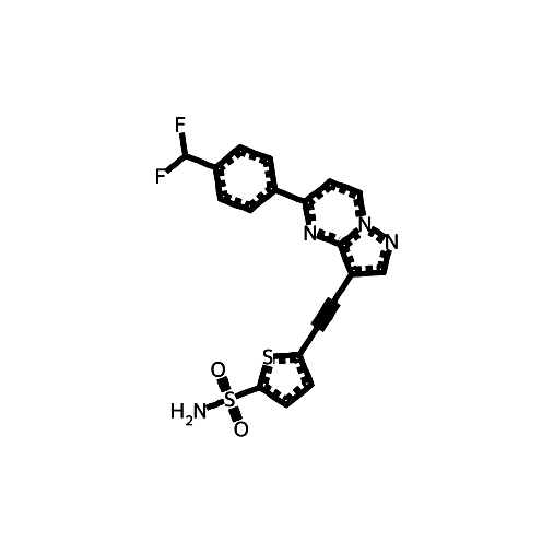 NS(=O)(=O)c1ccc(C#Cc2cnn3ccc(-c4ccc(C(F)F)cc4)nc23)s1